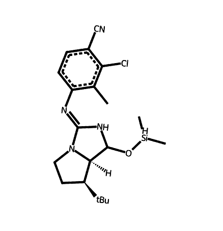 Cc1c(N=C2NC(O[SiH](C)C)[C@H]3[C@@H](C(C)(C)C)CCN23)ccc(C#N)c1Cl